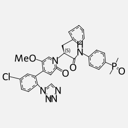 COc1cn([C@@H](Cc2ccccc2)C(=O)Nc2ccc(P(C)(C)=O)cc2)c(=O)cc1-c1cc(Cl)ccc1-n1cnnn1